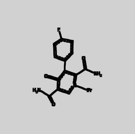 CC(C)n1cc(C(N)=O)c(=O)c(-c2ccc(F)cc2)c1C(N)=O